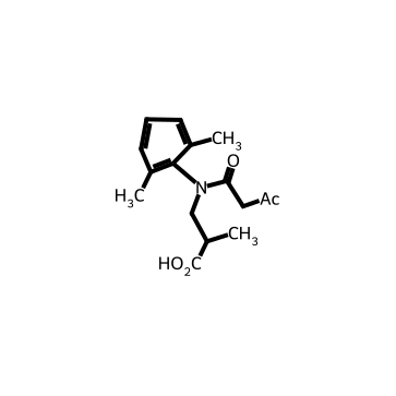 CC(=O)CC(=O)N(CC(C)C(=O)O)c1c(C)cccc1C